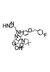 Cc1nc(NCCc2c[nH]cn2)c(-c2ccc(OCCc3ccc(F)cc3)cc2)c(N2CCC(C)(C)CC2)c1[C@H](OC(C)(C)C)C(=O)O